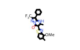 COc1c(C)ccc2sc(-c3c(C)[nH]c4c(-c5ccccc5)c(C(F)(F)F)nn4c3=O)nc12